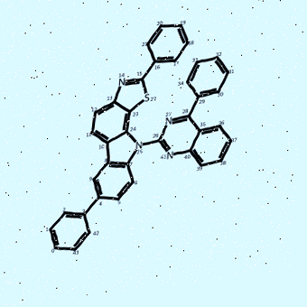 c1ccc(-c2ccc3c(c2)c2ccc4nc(-c5ccccc5)sc4c2n3-c2nc(-c3ccccc3)c3ccccc3n2)cc1